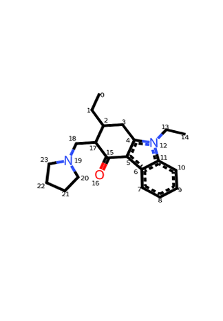 CCC1Cc2c(c3ccccc3n2CC)C(=O)C1CN1CCCC1